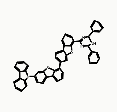 c1ccc(C2N=C(c3cccc4c3sc3cc(-c5cccc6c5sc5cc(-n7c8ccccc8c8ccccc87)ccc56)ccc34)NC(c3ccccc3)N2)cc1